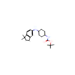 CC(C)(C)OC(=O)NC1CCC(Nc2ccc3c(c2)CCC3(C)C)CC1